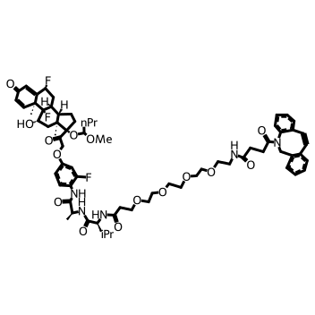 CCCC(OC)O[C@]1(C(=O)COc2ccc(NC(=O)[C@H](C)NC(=O)[C@@H](NC(=O)CCOCCOCCOCCOCCNC(=O)CCC(=O)N3Cc4ccccc4C#Cc4ccccc43)C(C)C)c(F)c2)CC[C@H]2[C@@H]3C[C@H](F)C4=CC(=O)C=C[C@]4(C)[C@@]3(F)[C@@H](O)C[C@@]21C